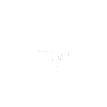 CN(CCc1ccccc1)C(=O)C(CCCc1ccccc1)C(=O)O